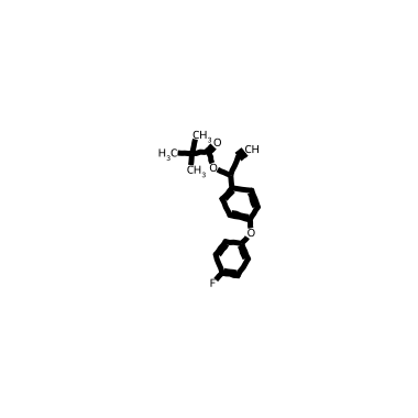 C#CC(OC(=O)C(C)(C)C)c1ccc(Oc2ccc(F)cc2)cc1